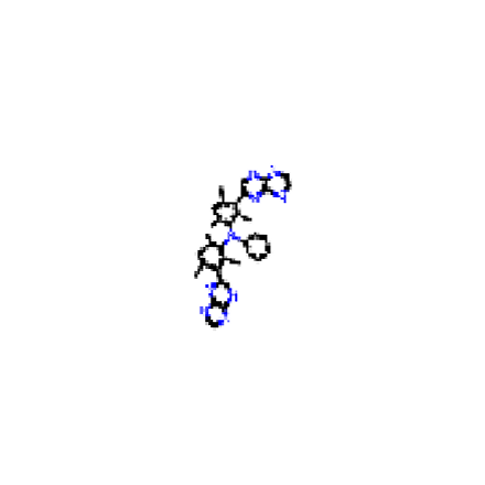 Cc1cc(C)c(N(c2ccccc2)c2c(C)cc(C)c(-c3cnc4nccnc4n3)c2C)c(C)c1-c1cnc2nccnc2n1